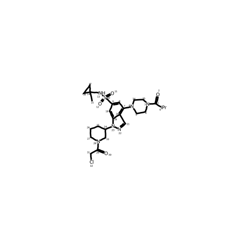 CC(C)C(=O)N1CCN(c2cc(S(=O)(=O)NC3(C)CC3)cc3c2cnn3C2CCCN(C(=O)CCl)C2)CC1